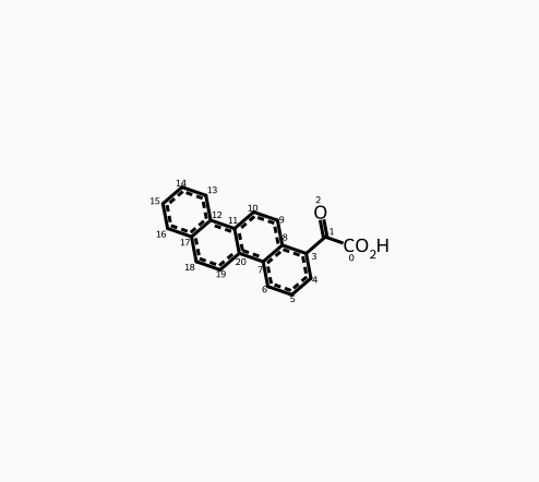 O=C(O)C(=O)c1cccc2c1ccc1c3ccccc3ccc21